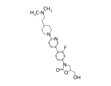 CN(C)CCC1CCN(c2ccc(-c3ccc(N4CC(CO)OC4=O)cc3F)cn2)CC1